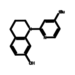 CC(C)(C)c1ccnc(N2CCCc3ccc(O)cc32)c1